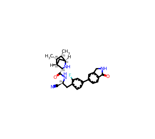 C[C@@H]1[C@H](C)[C@@H]2C[C@@H]1[C@@H](C(=O)N[C@H](C#N)Cc1ccc(-c3ccc4c(c3)CNC4=O)cc1F)N2